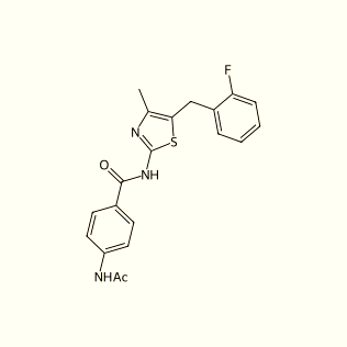 CC(=O)Nc1ccc(C(=O)Nc2nc(C)c(Cc3ccccc3F)s2)cc1